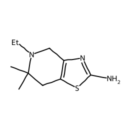 CCN1Cc2nc(N)sc2CC1(C)C